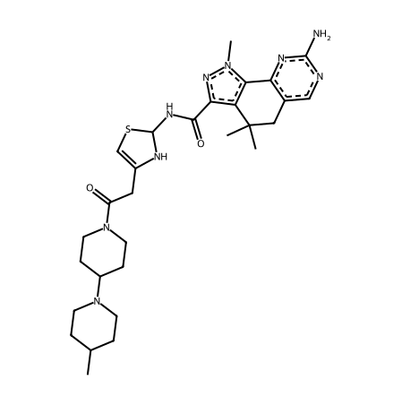 CC1CCN(C2CCN(C(=O)CC3=CSC(NC(=O)c4nn(C)c5c4C(C)(C)Cc4cnc(N)nc4-5)N3)CC2)CC1